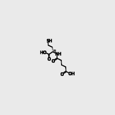 O=C(O)CCCC(=O)N[C@@H](CCS)C(=O)O